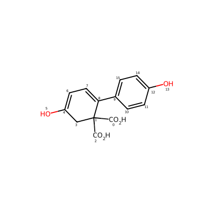 O=C(O)C1(C(=O)O)CC(O)=CC=C1c1ccc(O)cc1